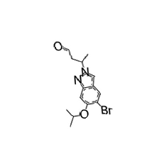 CC(C)Oc1cc2nn(C(C)CC=O)cc2cc1Br